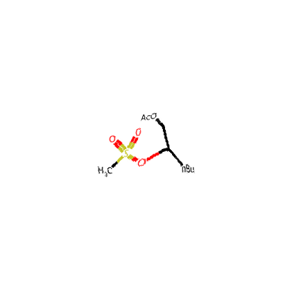 CCCCC(COC(C)=O)OS(C)(=O)=O